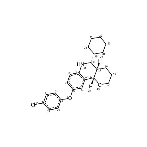 Clc1ccc(Oc2ccc3c(c2)[C@H]2OCCC[C@H]2[C@@H](C2CCCCC2)N3)cc1